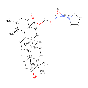 C[C@@H]1CCC2(C(=O)OCOn3on3N3CCCC3)CC[C@]3(C)C(=CC[C@@H]4[C@@]5(C)CC[C@H](O)C(C)(C)C5CC[C@]43C)C2[C@H]1C